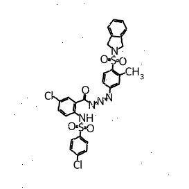 Cc1cc(N=[N+]=NC(=O)c2cc(Cl)ccc2NS(=O)(=O)c2ccc(Cl)cc2)ccc1S(=O)(=O)N1Cc2ccccc2C1